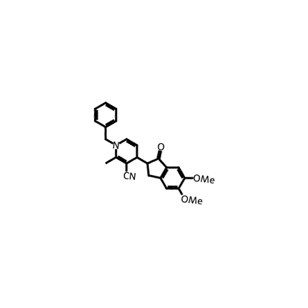 COc1cc2c(cc1OC)C(=O)C(C1C=CN(Cc3ccccc3)C(C)=C1C#N)C2